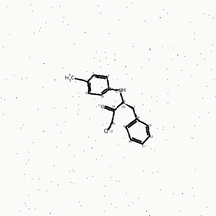 Cc1ccc(N[C@@H](Cc2ccccc2)C(=O)CCl)cc1